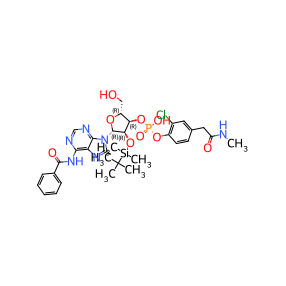 CNC(=O)Cc1ccc(OP(=O)(O)O[C@H]2[C@@H](O[Si](C)(C)C(C)(C)C)[C@H](n3cnc4c(NC(=O)c5ccccc5)ncnc43)O[C@@H]2CO)c(Cl)c1